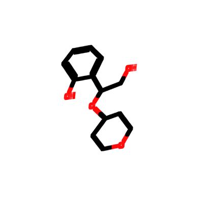 OCC(OC1CCOCC1)c1ccccc1O